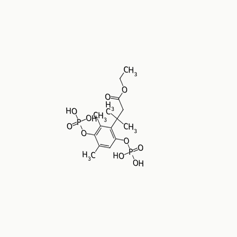 CCOC(=O)CC(C)(C)c1c(OP(=O)(O)O)cc(C)c(OP(=O)(O)O)c1C